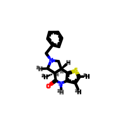 [2H]c1sc2c(c1[2H])N([2H])C(=O)[C@@]1([2H])C([2H])N(Cc3ccccc3)C[C@H]21